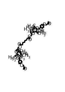 CCC1(C)CC2(OCC(COC(=O)CCCCCCC(=O)OCC3COC4(CC(C)(CC)N(OC(C)c5ccc(OCC6CO6)cc5)C(C)(CC)C4C)O3)O2)C(C)C(C)(CC)N1OC(C)c1ccc(OCC2CO2)cc1